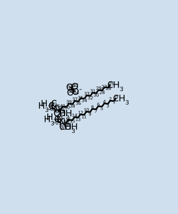 CCCCCCCCCCCCCCCCCC(O)[N+](C)(CC)CC.CCCCCCCCCCCCCCCCCC(O)[N+](C)(CC)CC.O=S(=O)([O-])[O-]